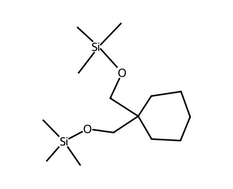 C[Si](C)(C)OCC1(CO[Si](C)(C)C)CCCCC1